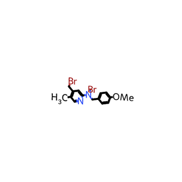 COc1ccc(CN(Br)c2cc(CBr)c(C)cn2)cc1